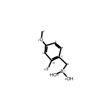 COc1ccc(CB(O)O)c(F)c1